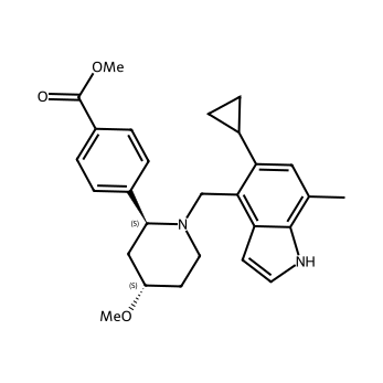 COC(=O)c1ccc([C@@H]2C[C@@H](OC)CCN2Cc2c(C3CC3)cc(C)c3[nH]ccc23)cc1